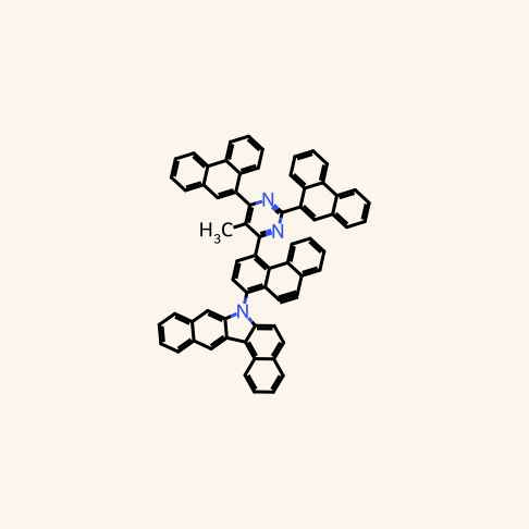 Cc1c(-c2cc3ccccc3c3ccccc23)nc(-c2cc3ccccc3c3ccccc23)nc1-c1ccc(-n2c3cc4ccccc4cc3c3c4ccccc4ccc32)c2c#cc3ccccc3c12